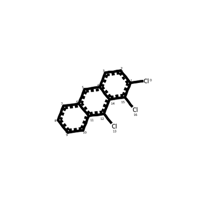 Clc1[c]cc2cc3cc[c]cc3c(Cl)c2c1Cl